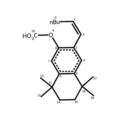 CCCC/C=C\c1cc2c(cc1OC(=O)O)C(C)(C)CCC2(C)C